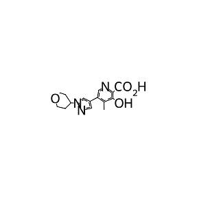 Cc1c(-c2cnn(C3CCOCC3)c2)cnc(C(=O)O)c1O